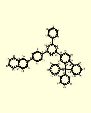 c1ccc(-c2nc(-c3ccc(-c4ccc5ccccc5c4)cc3)nc(-c3ccc4c(c3)C(c3ccccc3)(c3ccccc3)c3ccccc3-4)n2)cc1